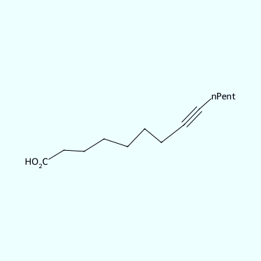 CCCCCC#CCCCCCCC(=O)O